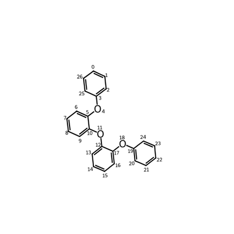 c1ccc(Oc2ccccc2Oc2ccccc2Oc2ccccc2)cc1